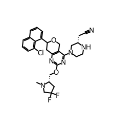 CN1CC(F)(F)C[C@H]1COc1nc2c(c(N3CCN[C@@H](CC#N)C3)n1)COC(c1cccc3cccc(Cl)c13)C2